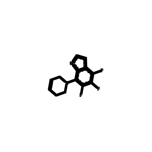 Fc1c(F)c(N2CC=CCC2)c2occc2c1F